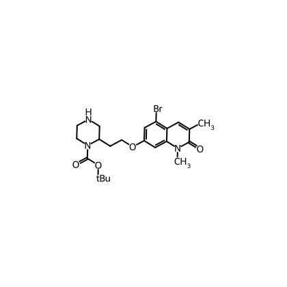 Cc1cc2c(Br)cc(OCCC3CNCCN3C(=O)OC(C)(C)C)cc2n(C)c1=O